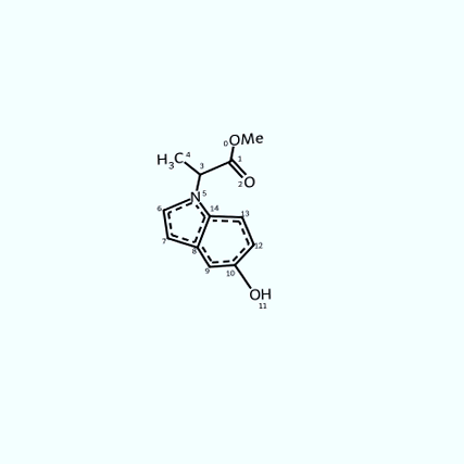 COC(=O)C(C)n1ccc2cc(O)ccc21